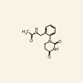 CC(=O)NCc1ccccc1N1CCC(=O)NC1=O